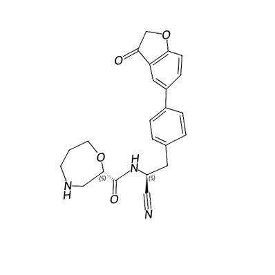 N#C[C@H](Cc1ccc(-c2ccc3c(c2)C(=O)CO3)cc1)NC(=O)[C@@H]1CNCCCO1